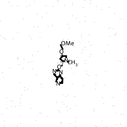 COCCO[C@@H]1C[C@@H](COc2ncc3cnccc3n2)N(C)C1